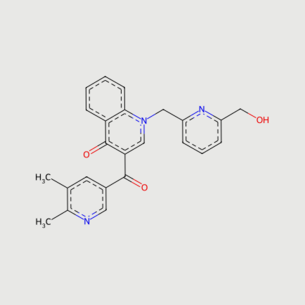 Cc1cc(C(=O)c2cn(Cc3cccc(CO)n3)c3ccccc3c2=O)cnc1C